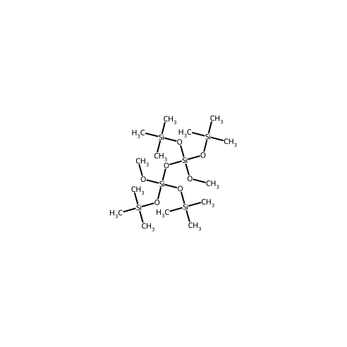 CO[Si](O[Si](C)(C)C)(O[Si](C)(C)C)O[Si](OC)(O[Si](C)(C)C)O[Si](C)(C)C